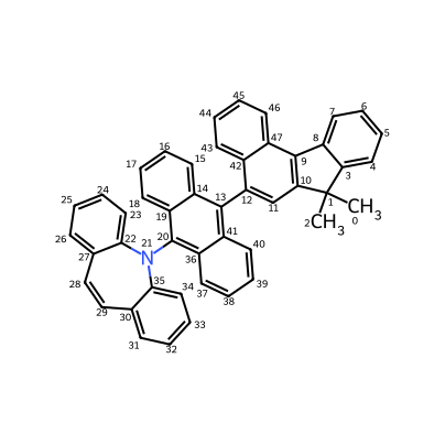 CC1(C)c2ccccc2-c2c1cc(-c1c3ccccc3c(N3c4ccccc4C=Cc4ccccc43)c3ccccc13)c1ccccc21